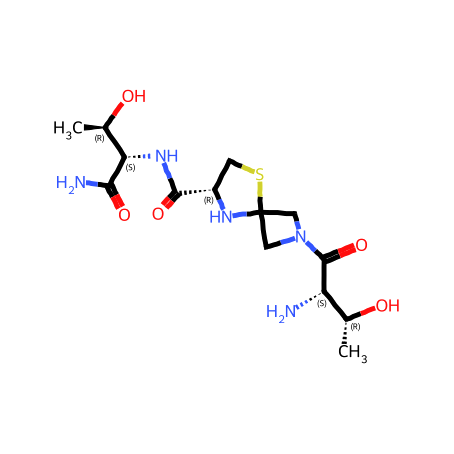 C[C@@H](O)[C@H](N)C(=O)N1CC2(C1)N[C@H](C(=O)N[C@H](C(N)=O)[C@@H](C)O)CS2